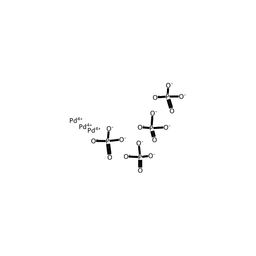 O=P([O-])([O-])[O-].O=P([O-])([O-])[O-].O=P([O-])([O-])[O-].O=P([O-])([O-])[O-].[Pd+4].[Pd+4].[Pd+4]